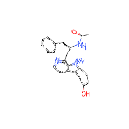 CC(=O)N[C@H](Cc1ccccc1)c1nccc2c1[nH]c1ccc(O)cc12